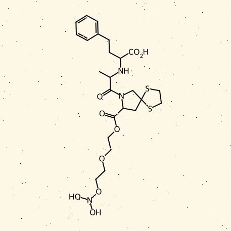 CC(NC(CCc1ccccc1)C(=O)O)C(=O)N1CC2(CC1C(=O)OCCOCCON(O)O)SCCS2